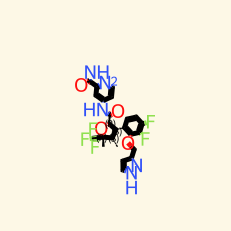 C[C@H]1[C@@H](c2ccc(F)c(F)c2OCc2cc[nH]n2)[C@H](C(=O)Nc2ccnc(C(N)=O)c2)O[C@@]1(C)C(F)(F)F